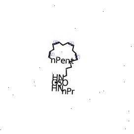 CCCCC/C=C\C/C=C\C/C=C\C/C=C\CCCCNS(=O)(=O)NCCC